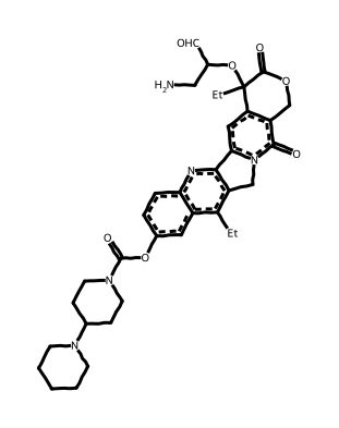 CCc1c2c(nc3ccc(OC(=O)N4CCC(N5CCCCC5)CC4)cc13)-c1cc3c(c(=O)n1C2)COC(=O)C3(CC)OC(C=O)CN